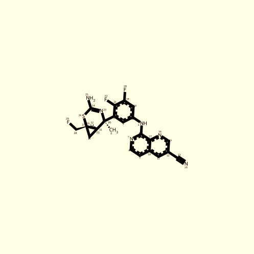 C[C@@]1(c2cc(Nc3nccc4cc(C#N)cnc34)cc(F)c2F)N=C(N)S[C@@]2(CF)C[C@H]21